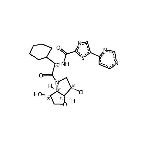 O=C(N[C@H](C(=O)N1C[C@H](Cl)[C@H]2OC[C@H](O)[C@H]21)C1CCCCC1)c1ncc(-c2ccncn2)s1